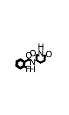 O=C1CC[C@H](NC(=O)c2ccccc2F)C(=O)N1